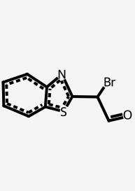 O=CC(Br)c1nc2ccccc2s1